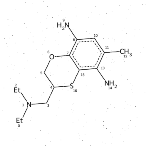 CCN(CC)CC1COc2c(N)cc(C)c(N)c2S1